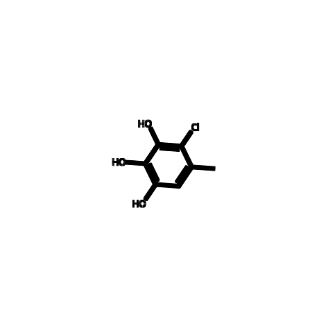 Cc1cc(O)c(O)c(O)c1Cl